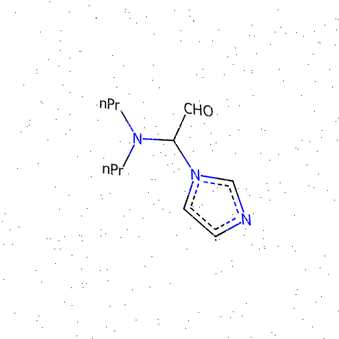 CCCN(CCC)C(C=O)n1c[c]nc1